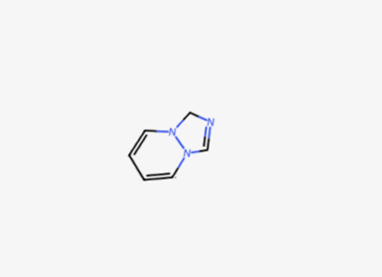 [C]1=CC=CN2CN=CN12